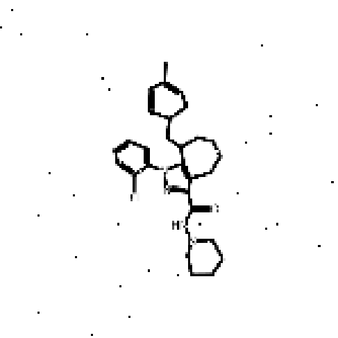 CC1=CCC(CC2CCCCc3c(C(=O)NN4CCCCC4)nn(-c4ccccc4Cl)c32)C=C1